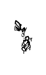 C[C@H]1CC[C@H]2[C@H](CC[C@H]3C4[C@H](C)C[C@H](C(=O)Cn5cc(C(=O)N6CCC6)cn5)[C@@]4(C)CC[C@H]23)C1